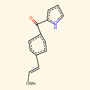 CO/C=C/c1ccc(C(=O)c2ccc[nH]2)cc1